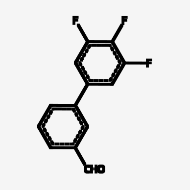 O=Cc1cccc(-c2cc(F)c(F)c(F)c2)c1